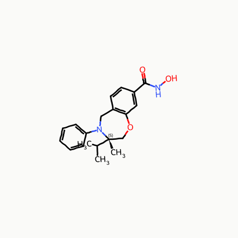 CC(C)[C@@]1(C)COc2cc(C(=O)NO)ccc2CN1c1ccccc1